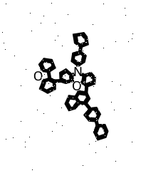 c1ccc(-c2ccc(-c3cc4c5cccc(N(c6ccc(-c7ccccc7)cc6)c6ccc(-c7cccc8oc9ccccc9c78)cc6)c5oc4c4ccccc34)cc2)cc1